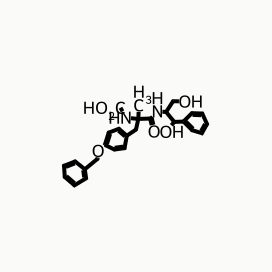 CC(Cc1ccc(OCc2ccccc2)cc1)(NC(=O)O)C(=O)NC(CO)C(O)c1ccccc1